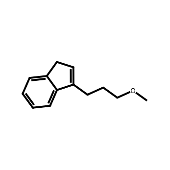 COCCCC1=CCc2ccccc21